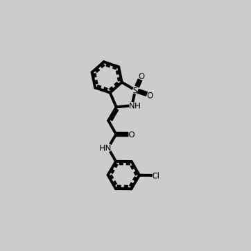 O=C(C=C1NS(=O)(=O)c2ccccc21)Nc1cccc(Cl)c1